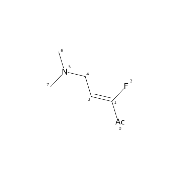 CC(=O)/C(F)=C/CN(C)C